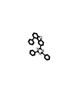 c1ccc(-c2nc(-c3ccccc3)nc(-c3ccc4oc5cccc(-c6ccccc6)c5c4c3)n2)cc1